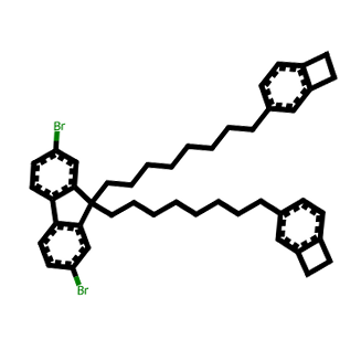 Brc1ccc2c(c1)C(CCCCCCCCc1ccc3c(c1)CC3)(CCCCCCCCc1ccc3c(c1)CC3)c1cc(Br)ccc1-2